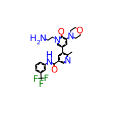 Cc1ncc(C(=O)Nc2cccc(C(F)(F)F)c2)cc1-c1cc(N2CCOCC2)c(=O)n(CCN)c1